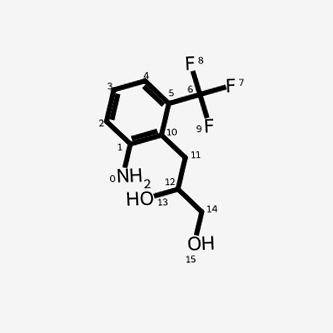 Nc1cccc(C(F)(F)F)c1CC(O)CO